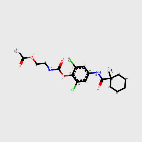 CC(C)(C)C(=O)OCCNC(=O)Oc1c(Cl)cc(NC(=O)C2(C)CCCCC2)cc1Cl